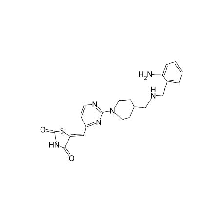 Nc1ccccc1CNCC1CCN(c2nccc(/C=C3\SC(=O)NC3=O)n2)CC1